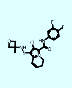 CC1(NSc2c(Cl)c(C(=O)Nc3ccc(F)c(F)c3)n3c2C=CCC3)COC1